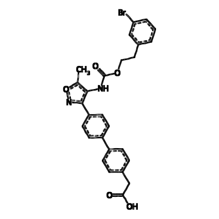 Cc1onc(-c2ccc(-c3ccc(CC(=O)O)cc3)cc2)c1NC(=O)OCCc1cccc(Br)c1